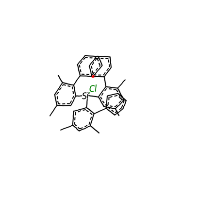 Cc1cc(C)c(-c2ccccc2)c([Si](Cl)(c2cc(C)cc(C)c2-c2ccccc2)c2cc(C)cc(C)c2-c2ccccc2)c1